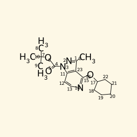 Cc1nn(C(=O)OC(C)(C)C)c2ccnc(OC3CCCCC3)c12